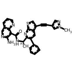 C[C@@H](NC(=O)c1c(N)ncc2cccnc12)c1nc2scc(C#Cc3cnn(C)c3)c2cc1-c1ccccc1